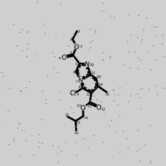 CCOC(=O)c1cn2c(Cl)c(C(=O)OCC(C)C)c(C)cc2n1